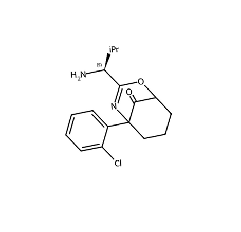 CC(C)[C@H](N)C1=NC2(c3ccccc3Cl)CCCC(O1)C2=O